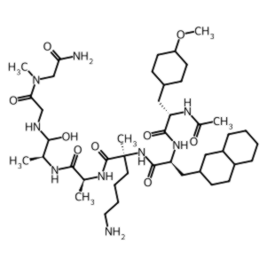 COC1CCC(C[C@H](NC(C)=O)C(=O)N[C@@H](CC2CCC3CCCCC3C2)C(=O)N[C@@](C)(CCCCN)C(=O)N[C@@H](C)C(=O)N[C@@H](C)C(O)NCC(=O)N(C)CC(N)=O)CC1